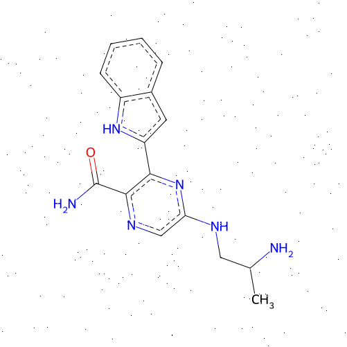 CC(N)CNc1cnc(C(N)=O)c(-c2cc3ccccc3[nH]2)n1